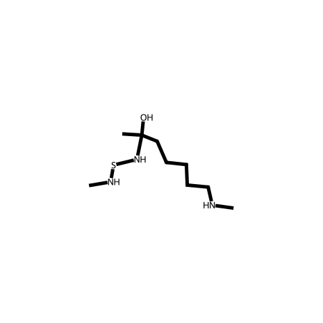 CNCCCCCC(C)(O)NSNC